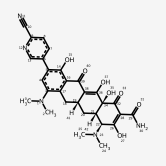 CN(C)c1cc(-c2ccc(C#N)nc2)c(O)c2c1C[C@H]1C[C@H]3[C@H](N(C)C)C(O)=C(C(N)=O)C(=O)[C@@]3(O)C(O)=C1C2=O